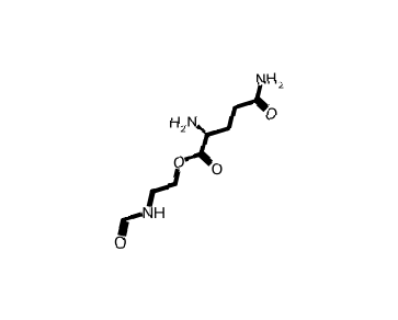 NC(=O)CC[C@H](N)C(=O)OCCNC=O